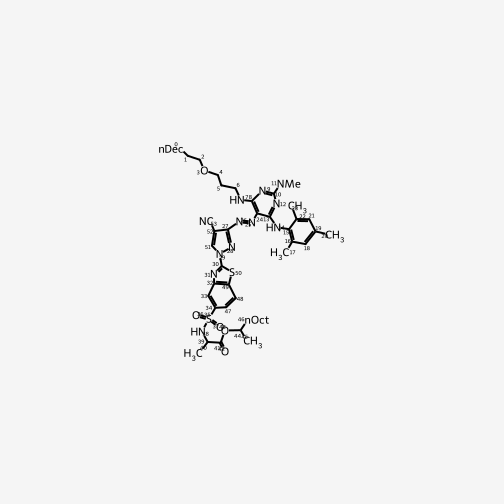 CCCCCCCCCCCCOCCCNc1nc(NC)nc(Nc2c(C)cc(C)cc2C)c1N=Nc1nn(-c2nc3cc(S(=O)(=O)NC(C)C(=O)OC(C)CCCCCCCC)ccc3s2)cc1C#N